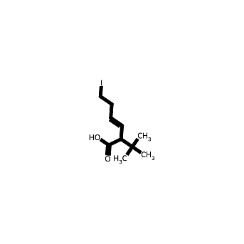 CC(C)(C)C(C=CCCI)C(=O)O